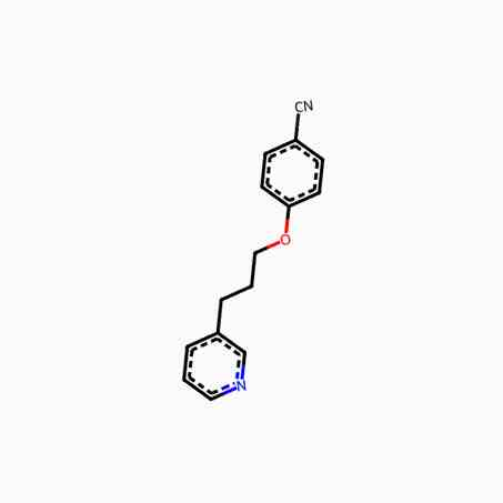 N#Cc1ccc(OCCCc2cccnc2)cc1